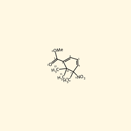 COC(=O)C1=CC=CC(C)([N+](=O)[O-])C1(C)C